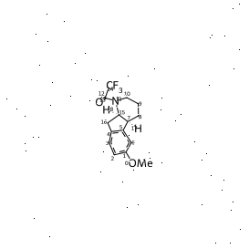 COc1ccc2c(c1)[C@@H]1CCCN(C(=O)C(F)(F)F)[C@@H]1C2